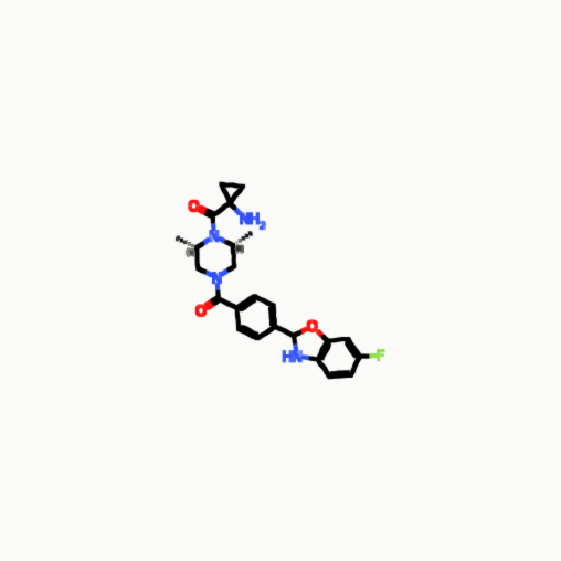 C[C@@H]1CN(C(=O)c2ccc(C3Nc4ccc(F)cc4O3)cc2)C[C@H](C)N1C(=O)C1(N)CC1